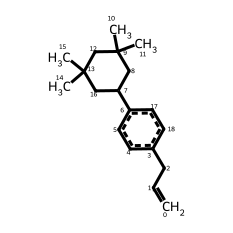 C=[C]Cc1ccc(C2CC(C)(C)CC(C)(C)C2)cc1